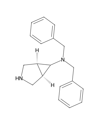 c1ccc(CN(Cc2ccccc2)C2[C@H]3CNC[C@@H]23)cc1